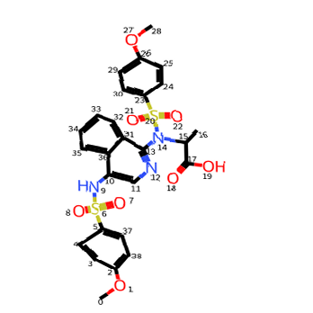 COc1ccc(S(=O)(=O)Nc2cnc(N(C(C)C(=O)O)S(=O)(=O)c3ccc(OC)cc3)c3ccccc23)cc1